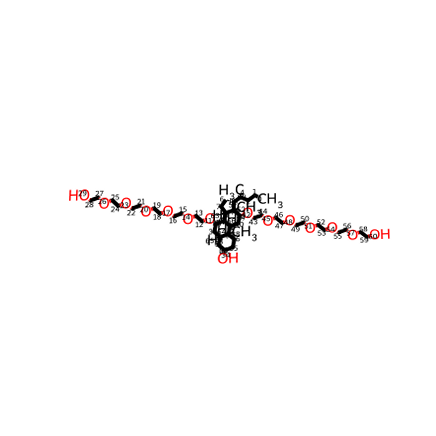 CCC[C@@H](C)[C@H]1CC[C@H]2[C@@H]3[C@H](OCCOCCOCCOCCOCCOCCO)C[C@@H]4C[C@H](O)CC[C@]4(C)[C@H]3C[C@H](OCCOCCOCCOCCOCCOCCO)[C@]12C